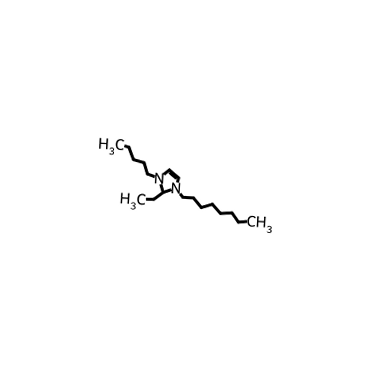 CCCCCCCCN1C=CN(CCCCC)C1CC